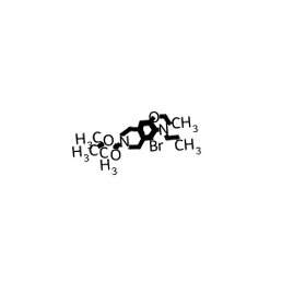 CCCN1c2c(cc3c(c2Br)CCN(C(=O)OC(C)(C)C)CC3)OC[C@@H]1C